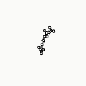 c1ccc(N(c2ccccc2)c2ccc3c(c2)c2ccccc2c2c4ccc(-c5ccc(-c6ccc(N(c7ccccc7)c7cccc8c7oc7ccccc78)cc6)cc5)cc4oc32)cc1